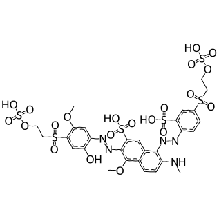 CNc1ccc2c(OC)c(/N=N/c3cc(OC)c(S(=O)(=O)CCOS(=O)(=O)O)cc3O)c(S(=O)(=O)O)cc2c1/N=N/c1ccc(S(=O)(=O)CCOS(=O)(=O)O)cc1S(=O)(=O)O